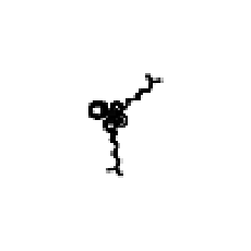 CC(C)CCCCCOP(=O)(OCCCCCC(C)C)c1ccccc1